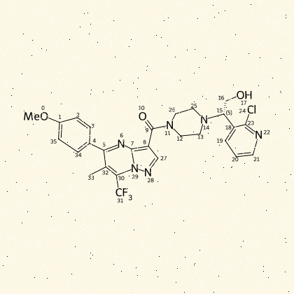 COc1ccc(-c2nc3c(C(=O)N4CCN([C@H](CO)c5cccnc5Cl)CC4)cnn3c(C(F)(F)F)c2C)cc1